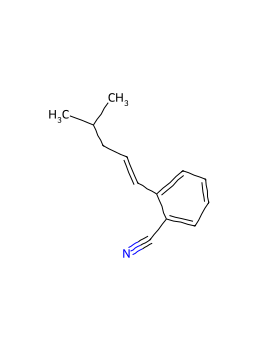 CC(C)CC=Cc1ccccc1C#N